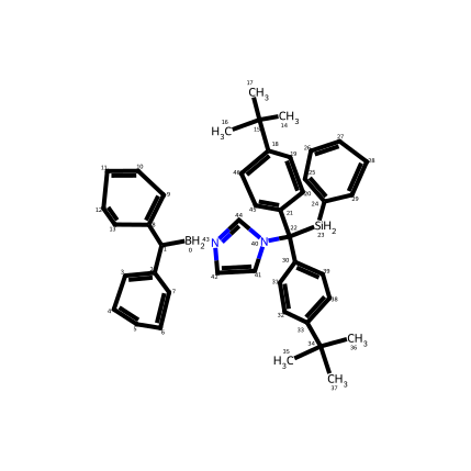 BC(c1ccccc1)c1ccccc1.CC(C)(C)c1ccc(C([SiH2]c2ccccc2)(c2ccc(C(C)(C)C)cc2)n2ccnc2)cc1